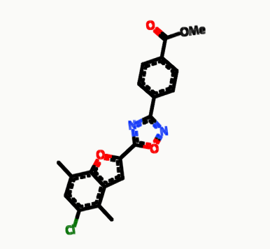 COC(=O)c1ccc(-c2noc(-c3cc4c(C)c(Cl)cc(C)c4o3)n2)cc1